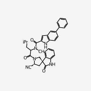 CC(C)CC(C(=O)N1C[C@]2(C[C@H]1C#N)C(=O)Nc1ccccc12)N(C)C(=O)c1cc2cc(-c3ccccc3)ccc2[nH]1